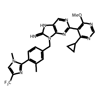 COc1ncnc(C2CC2)c1-c1ncc2[nH]c(=N)n(Cc3ccc(-c4nc(C(F)(F)F)cn4C)c(C)c3)c2n1